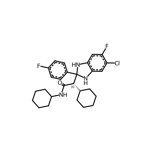 O=C(NC1CCCCC1)[C@@H](C1CCCCC1)C1(c2ccc(F)cc2)Nc2cc(F)c(Cl)cc2N1